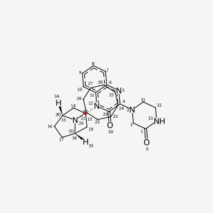 O=C1CN(c2nc3ccccc3n([C@H]3C[C@H]4CC[C@@H](C3)N4C3CCCCCCC3)c2=O)CCN1